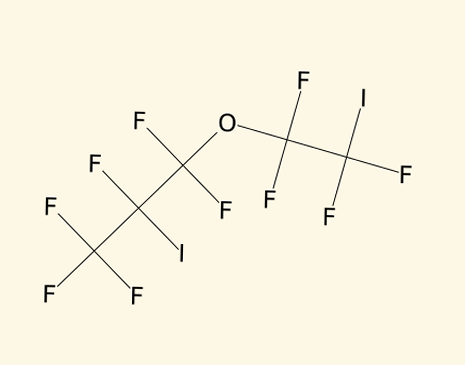 FC(F)(F)C(F)(I)C(F)(F)OC(F)(F)C(F)(F)I